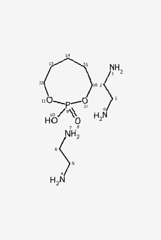 NCCN.NCCN.O=P1(O)OCCCCCO1